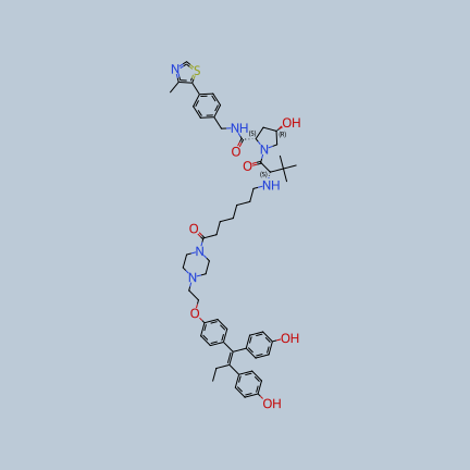 CCC(=C(c1ccc(O)cc1)c1ccc(OCCN2CCN(C(=O)CCCCCCN[C@H](C(=O)N3C[C@H](O)C[C@H]3C(=O)NCc3ccc(-c4scnc4C)cc3)C(C)(C)C)CC2)cc1)c1ccc(O)cc1